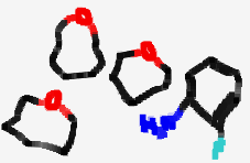 C1CCOCC1.C1CCOCC1.C1CCOCC1.Nc1ccccc1F